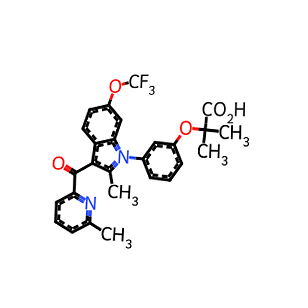 Cc1cccc(C(=O)c2c(C)n(-c3cccc(OC(C)(C)C(=O)O)c3)c3cc(OC(F)(F)F)ccc23)n1